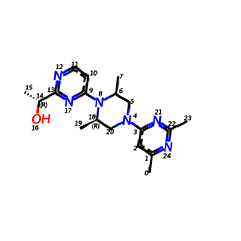 Cc1cc(N2CC(C)N(c3ccnc([C@@H](C)O)n3)[C@H](C)C2)nc(C)n1